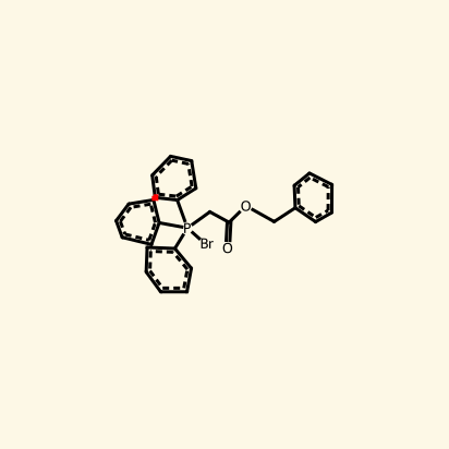 O=C(CP(Br)(c1ccccc1)(c1ccccc1)c1ccccc1)OCc1ccccc1